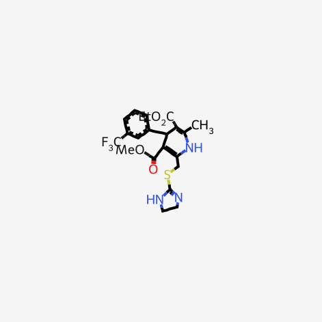 CCOC(=O)C1=C(C)NC(CSC2=NCCN2)=C(C(=O)OC)C1c1cccc(C(F)(F)F)c1